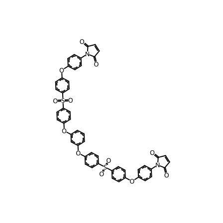 O=C1C=CC(=O)N1c1ccc(Oc2ccc(S(=O)(=O)c3ccc(Oc4cccc(Oc5ccc(S(=O)(=O)c6ccc(Oc7ccc(N8C(=O)C=CC8=O)cc7)cc6)cc5)c4)cc3)cc2)cc1